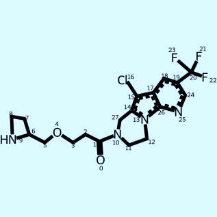 O=C(CCOCC1CCN1)N1CCn2c(c(Cl)c3cc(C(F)(F)F)cnc32)C1